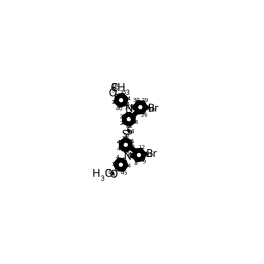 COc1ccc(-n2c3ccc(Br)cc3c3cc(SSc4ccc5c(c4)c4cc(Br)ccc4n5-c4ccc(OC)cc4)ccc32)cc1